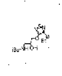 CCOc1nsnc1OCC(O)CNC(C)CC